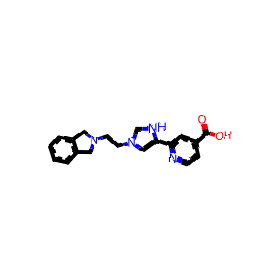 O=C(O)c1ccnc(C2=CN(CCN3Cc4ccccc4C3)CN2)c1